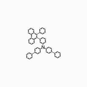 c1ccc(-c2ccc(N(c3ccc(-c4ccccc4)cc3)c3cccc(-c4c(-c5ccccc5)c5ccccc5c5ccccc45)c3)cc2)cc1